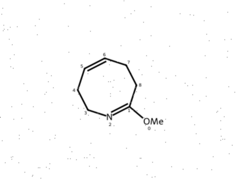 COC1=NCCC=CCC1